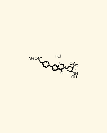 CON(C)Cc1ccc(-c2ccc3c(=O)n(CC[C@](C)(C(=O)NO)S(C)(=O)=O)cnc3c2)cc1.Cl